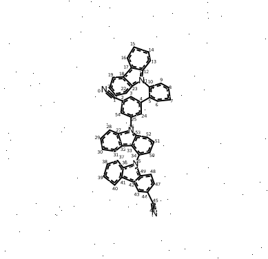 N#Cc1cc(-c2ccccc2-n2c3ccccc3c3ccccc32)cc(-n2c3ccccc3c3c(-n4c5ccccc5c5cc(C#N)ccc54)cccc32)c1